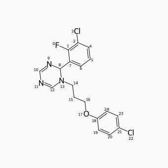 Fc1c(Cl)cccc1C1N=CN=CN1CCCOc1ccc(Cl)cc1